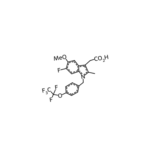 COc1cc2c(CC(=O)O)c(C)n(Cc3ccc(OC(F)(F)C(F)(F)F)cc3)c2cc1F